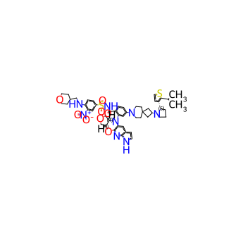 CC(C)c1sccc1[C@@H]1CCCN1C1CC2(CCN(c3ccc(C(=O)NS(=O)(=O)c4ccc(NCC5CCOCC5)c([N+](=O)[O-])c4)c(N4c5cc6cc[nH]c6nc5O[C@@H]5COC[C@H]54)c3)CC2)C1